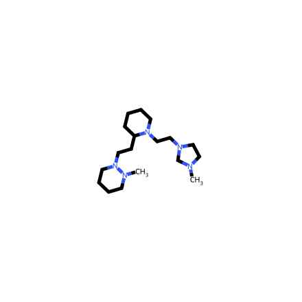 CN1CCN(CCN2CCCCC2CCN2CCCCN2C)C1